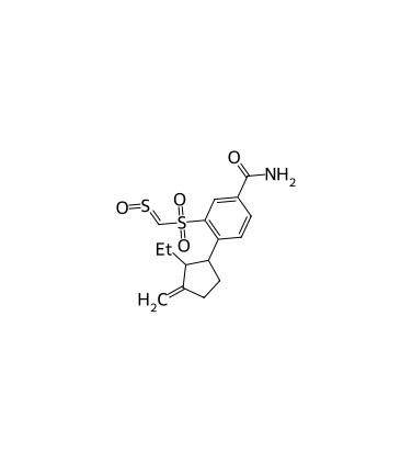 C=C1CCC(c2ccc(C(N)=O)cc2S(=O)(=O)C=S=O)C1CC